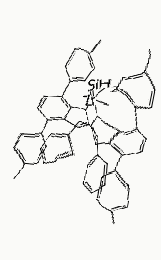 Cc1ccc(-c2ccc(-c3ccc(C)cc3)c3c2C=C(Cc2ccccc2)[CH]3[Zr]([CH3])([CH3])(=[SiH2])[CH]2C(Cc3ccccc3)=Cc3c(-c4ccc(C)cc4)ccc(-c4ccc(C)cc4)c32)cc1